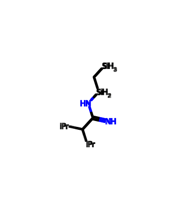 CC(C)C(C(=N)N[SiH2]C[SiH3])C(C)C